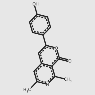 Cc1cc2cc(-c3ccc(O)cc3)oc(=O)c2c(C)n1